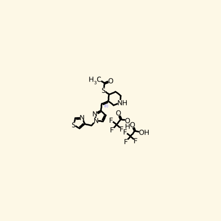 CC(=O)SC1CCNC/C1=C\c1ccn(Cc2cscn2)n1.O=C(O)C(F)(F)F.O=C(O)C(F)(F)F